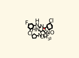 CN(C1CCCC1)C(CC(N=O)C(F)(F)F)N/C(=N\C(=O)c1cccc(Cl)c1)Nc1cc(F)cc(Cl)c1